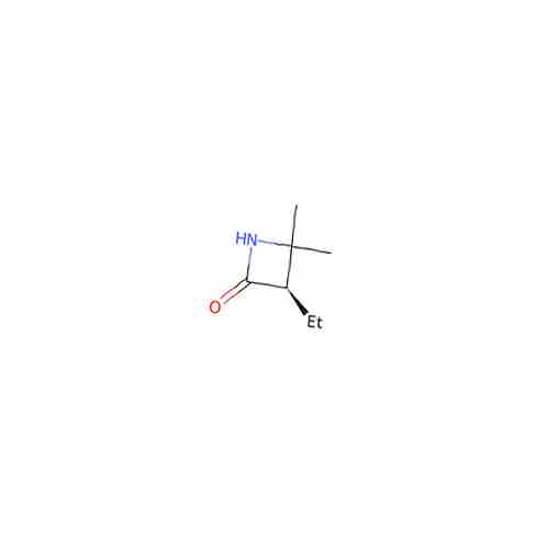 CC[C@H]1C(=O)NC1(C)C